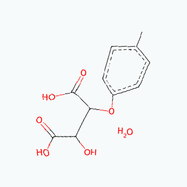 Cc1ccc(OC(C(=O)O)C(O)C(=O)O)cc1.O